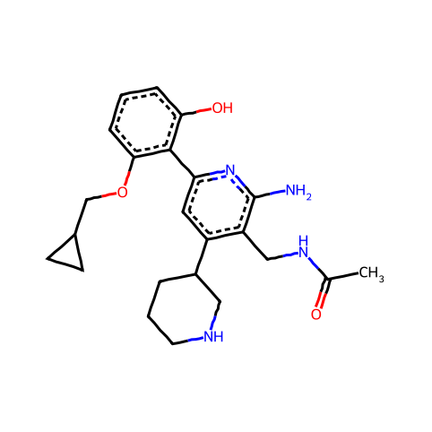 CC(=O)NCc1c(C2CCCNC2)cc(-c2c(O)cccc2OCC2CC2)nc1N